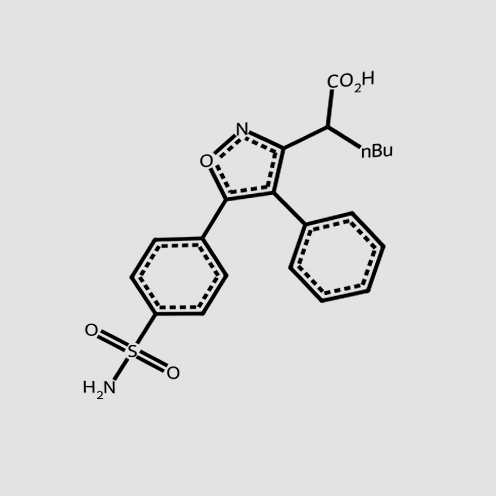 CCCCC(C(=O)O)c1noc(-c2ccc(S(N)(=O)=O)cc2)c1-c1ccccc1